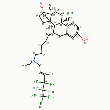 CN(C/C=C(\F)C(F)(F)C(F)(F)C(F)(F)F)CCCCC[C@@H]1Cc2cc(O)ccc2[C@@H]2[C@@H]1[C@@H]1CC[C@H](O)[C@@]1(C)C[C@@H]2F